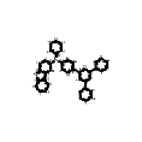 c1ccc(-c2cc(-c3ccccc3)cc(-c3ccc(N(c4ccccc4)c4ccc5sc6ccccc6c5c4)cc3)c2)cc1